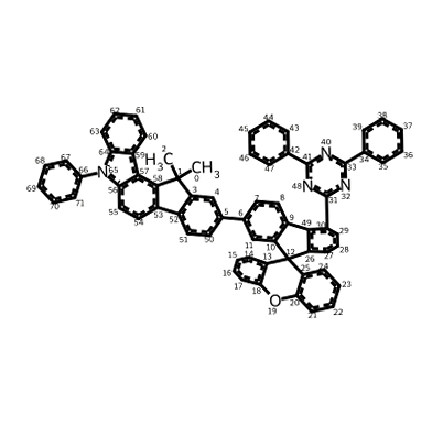 CC1(C)c2cc(-c3ccc4c(c3)C3(c5ccccc5Oc5ccccc53)c3cccc(-c5nc(-c6ccccc6)nc(-c6ccccc6)n5)c3-4)ccc2-c2ccc3c(c21)c1ccccc1n3-c1ccccc1